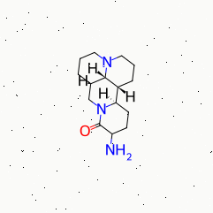 NC1CC[C@@H]2[C@H]3CCCN4CCC[C@@H](CN2C1=O)[C@@H]34